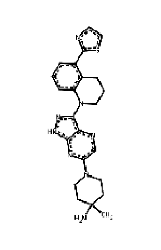 CC1(N)CCN(c2cnc3c(N4CCCc5c(-c6nccs6)cccc54)n[nH]c3n2)CC1